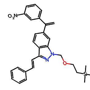 C=C(c1cccc([N+](=O)[O-])c1)c1ccc2c(/C=C/c3ccccc3)nn(COCC[Si](C)(C)C)c2c1